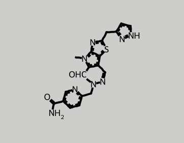 CN(Cc1ccc(C(N)=O)cn1)/N=C\c1c(C=O)n(C)c2nc(Cc3cc[nH]n3)sc12